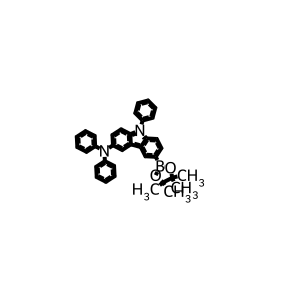 CC1(C)OB(c2ccc3c(c2)c2cc(N(c4ccccc4)c4ccccc4)ccc2n3-c2ccccc2)OC1(C)C